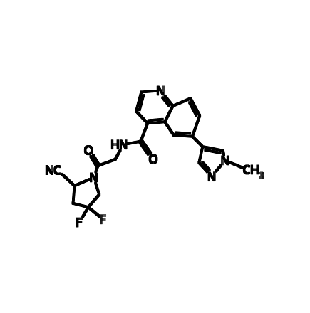 Cn1cc(-c2ccc3nccc(C(=O)NCC(=O)N4CC(F)(F)CC4C#N)c3c2)cn1